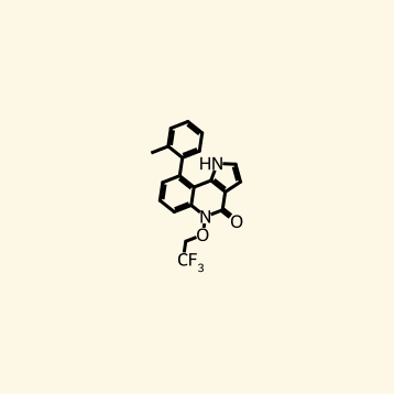 Cc1ccccc1-c1cccc2c1c1[nH]ccc1c(=O)n2OCC(F)(F)F